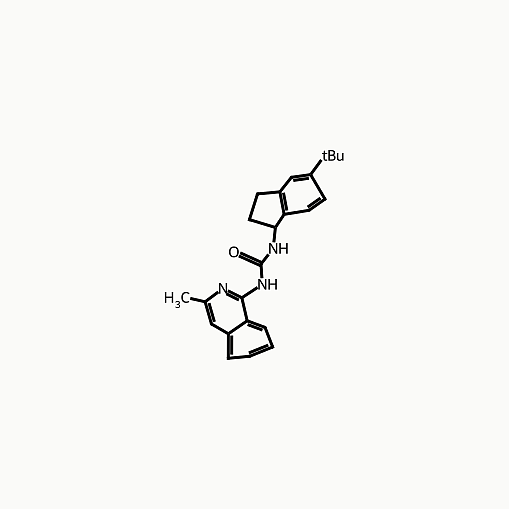 Cc1cc2ccccc2c(NC(=O)NC2CCc3cc(C(C)(C)C)ccc32)n1